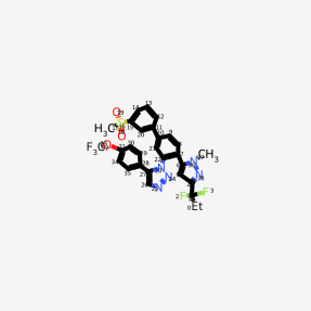 CCC(F)(F)c1cc(-c2ccc(-c3cccc(S(C)(=O)=O)c3)cc2-n2nncc2-c2ccc(OC(F)(F)F)cc2)n(C)n1